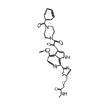 CNC(=O)COCc1cnc(-c2ncc(OC)c3c(C(=O)C(=O)N4CCN(C(=O)c5ccccc5)CC4)c[nH]c23)s1